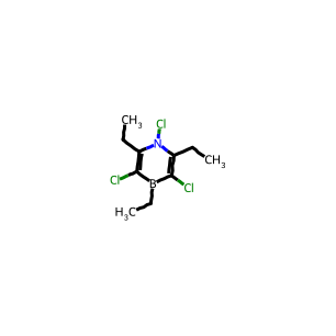 CCB1C(Cl)=C(CC)N(Cl)C(CC)=C1Cl